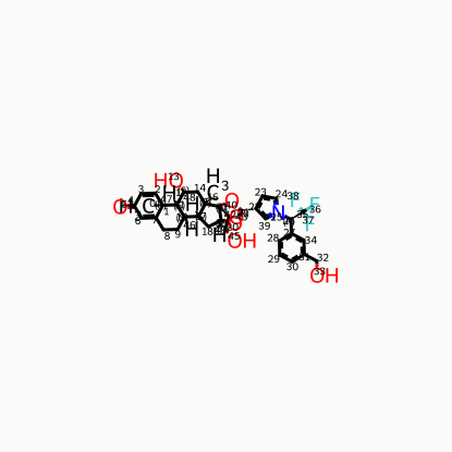 C[C@]12C=CC(=O)C=C1CC[C@@H]1[C@@H]2[C@@H](O)C[C@@]2(C)[C@H]1C[C@H]1O[C@@H](c3ccn([C@H](c4cccc(CO)c4)C(F)(F)F)c3)O[C@]12C(=O)CO